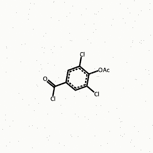 CC(=O)Oc1c(Cl)cc(C(=O)Cl)cc1Cl